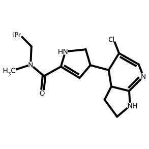 CC(C)CN(C)C(=O)C1=CC(C2C(Cl)=CN=C3NCCC32)CN1